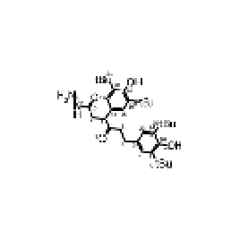 CC(C)(C)c1cc(CCC(=O)C(CC(=O)NN)c2cc(C(C)(C)C)c(O)c(C(C)(C)C)c2)cc(C(C)(C)C)c1O